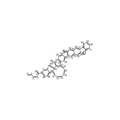 C=C/C=C\C(=C)c1ccc(-c2ccccccc(-c3ccc4sc5cc6cc7c(cc6cc5c4c3)oc3ccccc37)c(=C/C)/c2=C\C)cc1